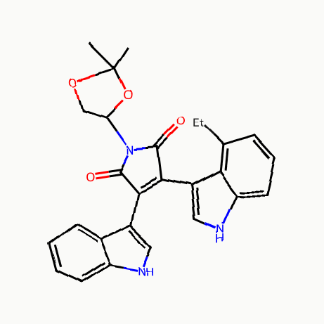 CCc1cccc2[nH]cc(C3=C(c4c[nH]c5ccccc45)C(=O)N(C4COC(C)(C)O4)C3=O)c12